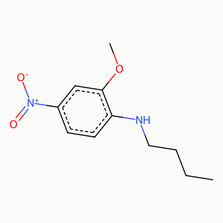 CCCCNc1ccc([N+](=O)[O-])cc1OC